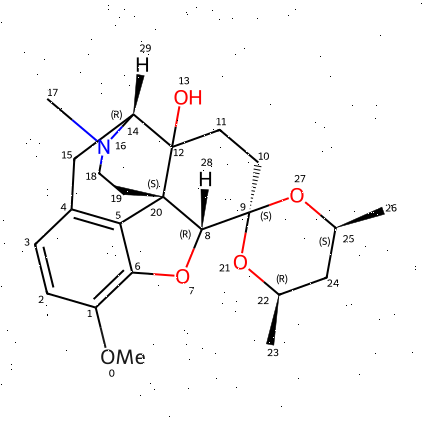 COc1ccc2c3c1O[C@H]1[C@]4(CCC5(O)[C@@H](C2)N(C)CC[C@]315)O[C@H](C)C[C@H](C)O4